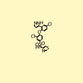 O=S(=O)(Nc1cscn1)c1ccc(Oc2ccc(Cl)cc2-c2ccn[nH]2)c(Cl)c1